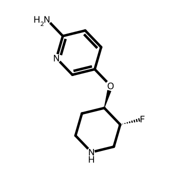 Nc1ccc(O[C@@H]2CCNC[C@H]2F)cn1